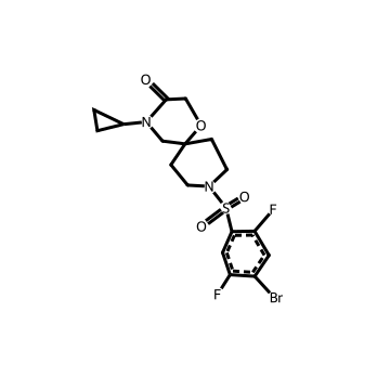 O=C1COC2(CCN(S(=O)(=O)c3cc(F)c(Br)cc3F)CC2)CN1C1CC1